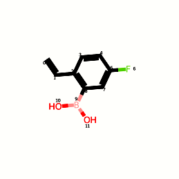 C=Cc1ccc(F)cc1B(O)O